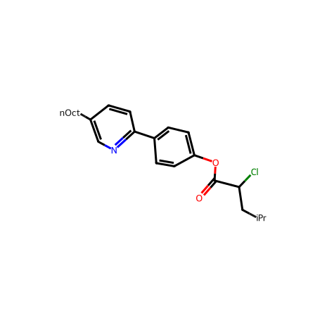 CCCCCCCCc1ccc(-c2ccc(OC(=O)C(Cl)CC(C)C)cc2)nc1